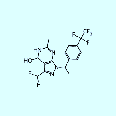 CC1=Nc2c(c(C(F)F)nn2C(C)c2ccc(C(F)(F)C(F)(F)F)cc2)C(O)N1